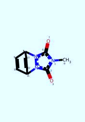 Cn1c(=O)n2n(c1=O)C1C=CC2C=C1